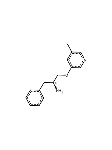 Cc1cncc(OC[C@@H](N)Cc2ccccc2)c1